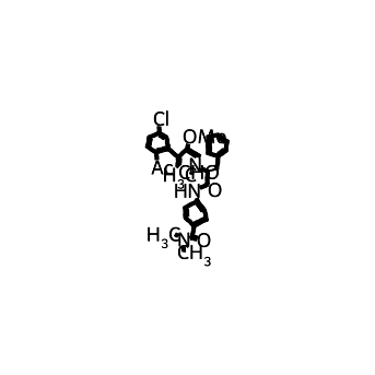 COC(=C/N(C)[C@@H](Cc1ccccc1)C(=O)Nc1ccc(C(=O)N(C)C)cc1)/C(=C\C=O)c1cc(Cl)ccc1C(C)=O